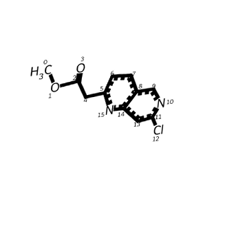 COC(=O)Cc1ccc2cnc(Cl)cc2n1